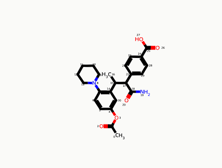 CC(=O)Oc1ccc(N2CCCCC2)c(C(C)C(C(N)=O)c2ccc(C(=O)O)cc2)c1